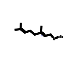 CCCCOC/C=C(\C)CCC=C(C)C